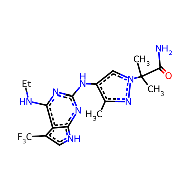 CCNc1nc(Nc2cn(C(C)(C)C(N)=O)nc2C)nc2[nH]cc(C(F)(F)F)c12